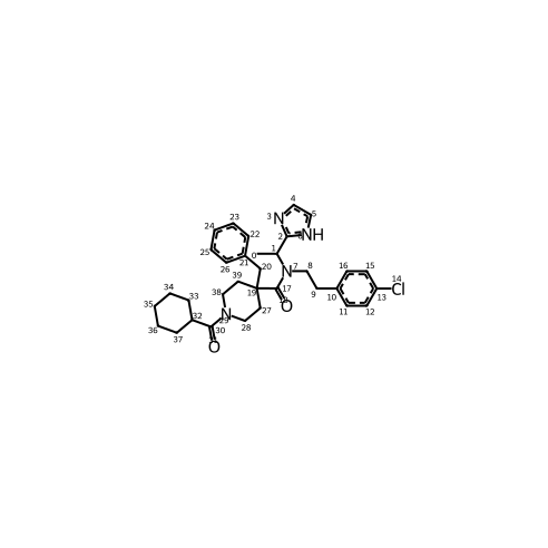 CC(c1ncc[nH]1)N(CCc1ccc(Cl)cc1)C(=O)C1(Cc2ccccc2)CCN(C(=O)C2CCCCC2)CC1